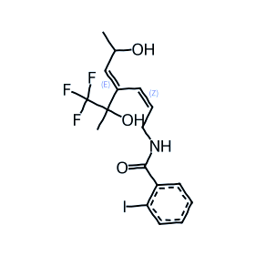 CC(O)/C=C(\C=C/CNC(=O)c1ccccc1I)C(C)(O)C(F)(F)F